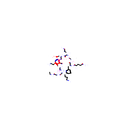 CC[C@H](C)[C@H](NC(=O)[C@H](Cc1ccccc1)NC(=O)[C@@H](N)CCC(N)=O)C(=O)N[C@@H](CCC(N)=O)C(=O)N[C@@H](CCC(=O)O)C(=O)N[C@@H](CCCCN)C(=O)N[C@@H](Cc1ccc(O)cc1)C(=O)N[C@@H](CCCCN)C(=O)NCC(=O)N[C@@H](C)C(=O)O